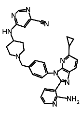 N#Cc1cc(NC2CCN(Cc3ccc(-n4c(-c5cccnc5N)nc5ccc(C6CC6)nc54)cc3)CC2)ncn1